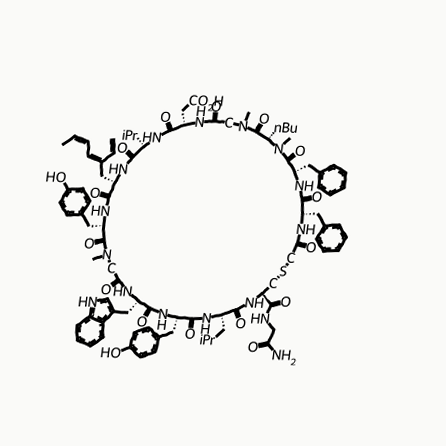 C=C/C(=C\C=C/C)C[C@@H]1NC(=O)[C@H](C(C)C)NC(=O)[C@H](CC(=O)O)NC(=O)CN(C)C(=O)[C@H](CCCC)N(C)C(=O)[C@H](Cc2ccccc2)NC(=O)[C@H](Cc2ccccc2)NC(=O)CSC[C@@H](C(=O)NCC(N)=O)NC(=O)[C@H](CC(C)C)NC(=O)[C@H](Cc2ccc(O)cc2)NC(=O)[C@H](Cc2c[nH]c3ccccc23)NC(=O)CN(C)C(=O)[C@H](Cc2ccc(O)cc2)NC1=O